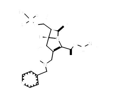 CCN(CC1=C(C(=O)OPN)N2C(=O)[C@H]([C@@H](C)O[Si](CC)(CC)CC)[C@H]2[C@H]1C)Cc1ccncc1